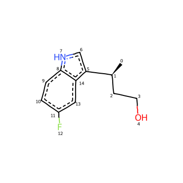 C[C@@H](CCO)c1c[nH]c2ccc(F)cc12